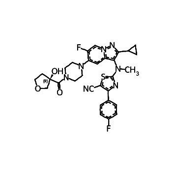 CN(c1nc(-c2ccc(F)cc2)c(C#N)s1)c1c(C2CC2)nn2cc(F)c(N3CCN(C(=O)[C@@]4(O)CCOC4)CC3)cc12